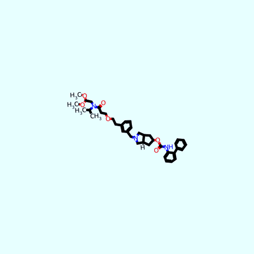 COC(CN(C(=O)CCOCCc1cccc(CN2CC3CC(OC(=O)Nc4ccccc4-c4ccccc4)C[C@H]3C2)c1)C(C)C)OC